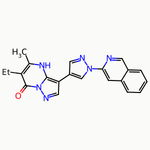 CCc1c(C)[nH]c2c(-c3cnn(-c4cc5ccccc5cn4)c3)cnn2c1=O